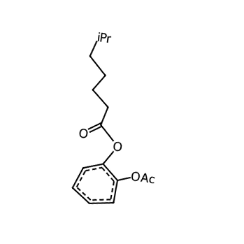 CC(=O)Oc1ccccc1OC(=O)CCCCC(C)C